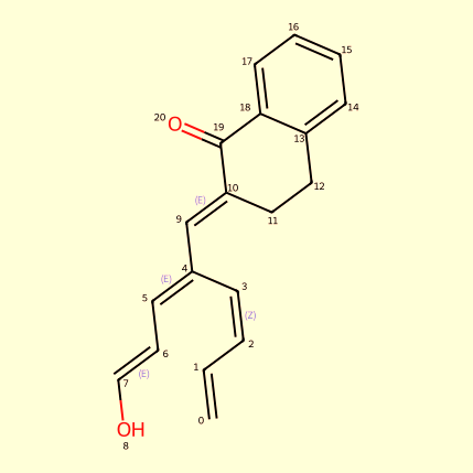 C=C\C=C/C(=C\C=C\O)/C=C1\CCc2ccccc2C1=O